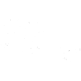 NCCCC[C@H](N)C(=O)O.NCc1cccc(C(F)(F)F)c1.O=Cc1ccc(-c2ccccc2)cc1